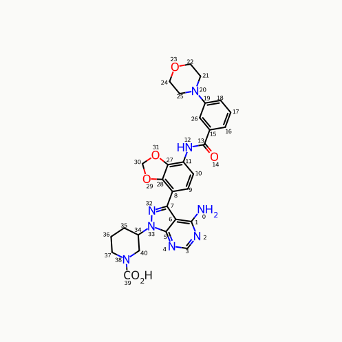 Nc1ncnc2c1c(-c1ccc(NC(=O)c3cccc(N4CCOCC4)c3)c3c1OCO3)nn2C1CCCN(C(=O)O)C1